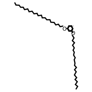 CCCCCCCCCCCCCCCCCCCCCCCOc1c[c]cc(OCCCCCCCCCCCCCCCCCCCCCCC)c1